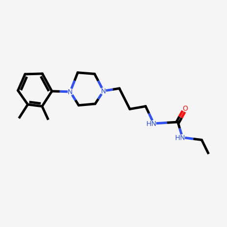 CCNC(=O)NCCCN1CCN(c2cccc(C)c2C)CC1